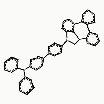 c1ccc(N(c2ccccc2)c2ccc(-c3ccc(N4CC5c6ncccc6-c6ccccc6-c6cccc4c65)cc3)cc2)cc1